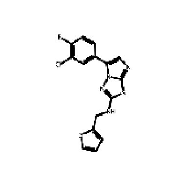 Fc1ccc(-c2cnc3sc(NCc4cccs4)nn23)cc1Cl